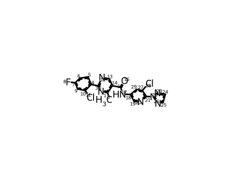 Cc1nc(-c2ccc(F)cc2Cl)ncc1C(=O)Nc1cnc(-n2nccn2)c(Cl)c1